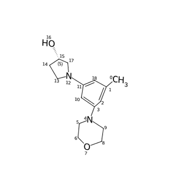 Cc1cc(N2CCOCC2)cc(N2CC[C@H](O)C2)c1